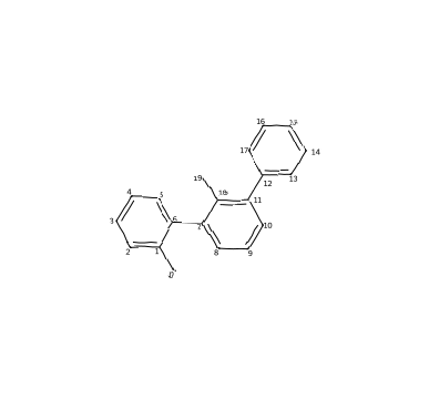 Cc1ccccc1-c1cccc(-c2ccccc2)c1C